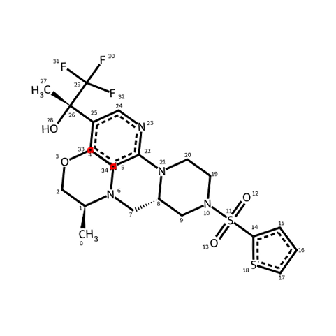 C[C@H]1COCCN1C[C@H]1CN(S(=O)(=O)c2cccs2)CCN1c1ncc([C@](C)(O)C(F)(F)F)cn1